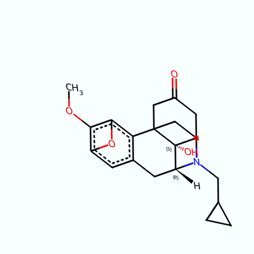 COc1c2cc3c(c1O2)C12CCN(CC4CC4)[C@H](C3)[C@]1(O)CCC(=O)C2